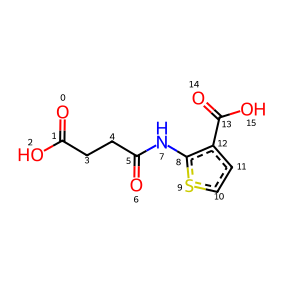 O=C(O)CCC(=O)Nc1sccc1C(=O)O